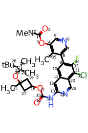 CNC(=O)Oc1cncc(-c2cc3cc(NC(=O)OC4CC(C)(O[Si](C)(C)C(C)(C)C)C4)ncc3c(Cl)c2F)c1C